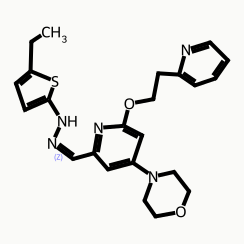 CCc1ccc(N/N=C\c2cc(N3CCOCC3)cc(OCCc3ccccn3)n2)s1